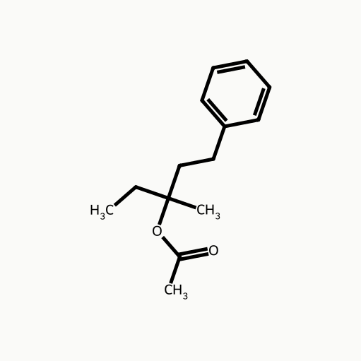 CCC(C)(CCc1ccccc1)OC(C)=O